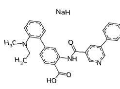 CCN(C)c1ccccc1-c1ccc(C(=O)O)c(NC(=O)c2cncc(-c3ccccc3)c2)c1.[NaH]